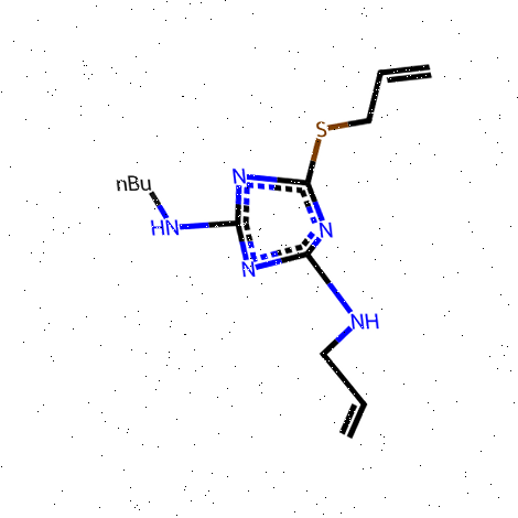 C=CCNc1nc(NCCCC)nc(SCC=C)n1